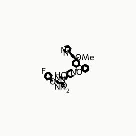 CO[C@]1(C#Cc2cccnn2)CC[C@@H](C(=O)N2CCC(O)(Cn3cnc(Oc4ccc(F)cc4)c(N)c3=O)CC2)[C@H](c2ccccc2)C1